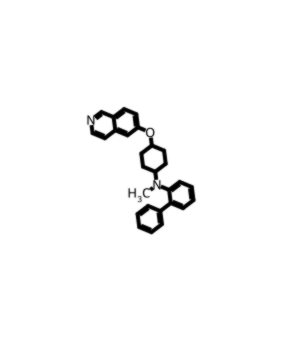 CN(c1ccccc1-c1ccccc1)C1CCC(Oc2ccc3cnccc3c2)CC1